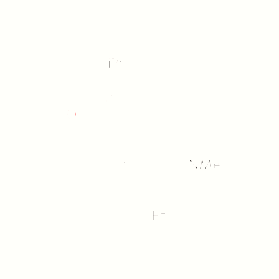 CCC(=CCC(=O)C(C)C)NC